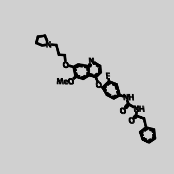 COc1cc2c(Oc3ccc(NC(=O)NC(=O)Cc4ccccc4)cc3F)ccnc2cc1OCCCN1CCCC1